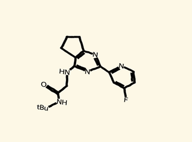 CC(C)(C)NC(=O)CNc1nc(-c2cc(F)ccn2)nc2c1CCC2